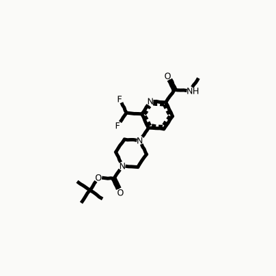 CNC(=O)c1ccc(N2CCN(C(=O)OC(C)(C)C)CC2)c(C(F)F)n1